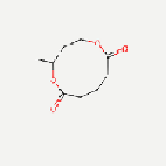 CC1CCOC(=O)CCCC(=O)O1